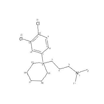 CN(C)CCCC1(c2ccc(Cl)c(Cl)c2)CCCCC1